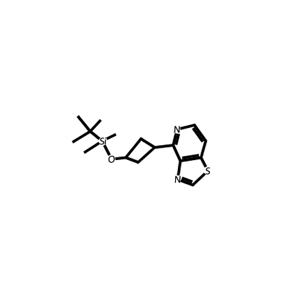 CC(C)(C)[Si](C)(C)OC1CC(c2nccc3scnc23)C1